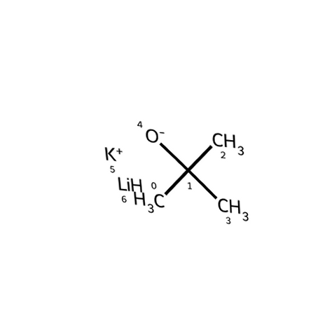 CC(C)(C)[O-].[K+].[LiH]